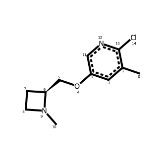 Cc1cc(OC[C@@H]2CCN2C)cnc1Cl